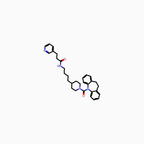 O=C(CCc1cccnc1)NCCCCC1CCN(C(=O)N2c3ccccc3CCc3ccccc32)CC1